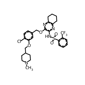 CN1CCC(COc2cc(COc3nc4c(nc3NS(=O)(=O)c3ccccc3C(F)(F)F)CCCC4)ccc2Cl)CC1